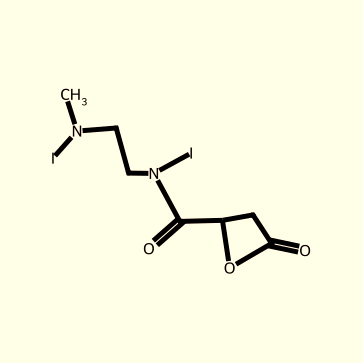 CN(I)CCN(I)C(=O)C1CC(=O)O1